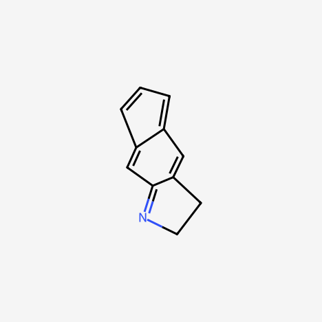 C1=Cc2cc3c(cc2=C1)CCN=3